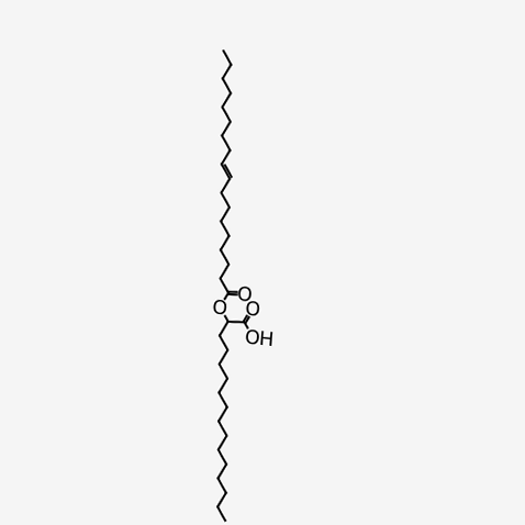 CCCCCCCCC=CCCCCCCCC(=O)OC(CCCCCCCCCCCCCC)C(=O)O